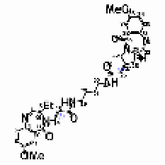 CC[C@H]1C=Nc2ccc(OC)cc2C(=O)N1/C=C/C(=O)NCCCCNC(=O)/C=C1/C[C@H]2C=Nc3ccc(OC)cc3C(=O)N2C1